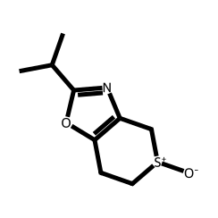 CC(C)c1nc2c(o1)CC[S+]([O-])C2